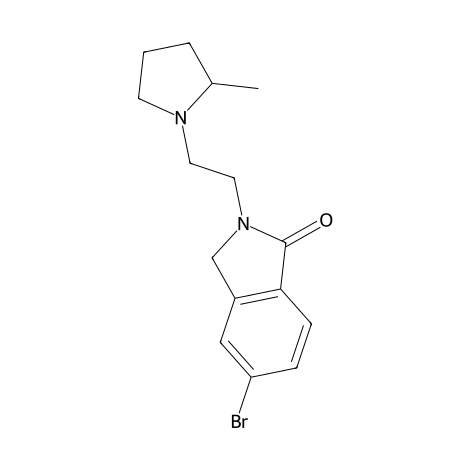 CC1CCCN1CCN1Cc2cc(Br)ccc2C1=O